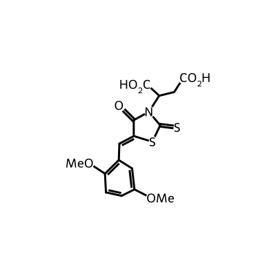 COc1ccc(OC)c(/C=C2\SC(=S)N(C(CC(=O)O)C(=O)O)C2=O)c1